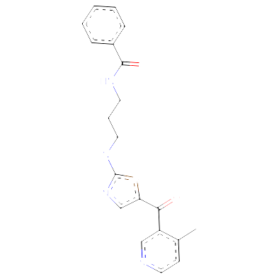 Cc1ccncc1C(=O)c1cnc(NCCCNC(=O)c2ccccc2)s1